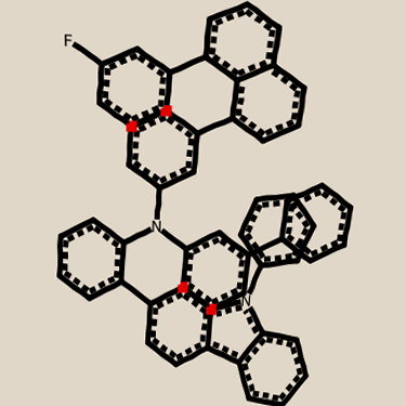 Fc1cccc(-c2cccc3cccc(-c4cccc(N(c5cccc(-c6ccccc6)c5)c5ccccc5-c5ccc6c7ccccc7n(-c7ccccc7)c6c5)c4)c23)c1